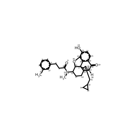 Cc1cccc(CCC(=O)N(C)C2CC[C@@]3(O)[C@H]4C(=O)c5ccc(O)c6c5[C@@]3(CCN4CC3CC3)C2O6)c1